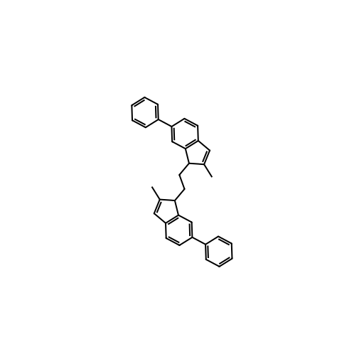 CC1=Cc2ccc(-c3ccccc3)cc2C1CCC1C(C)=Cc2ccc(-c3ccccc3)cc21